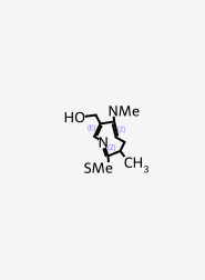 CNC1=C\CC(C)/C(SC)=N/C=C\1CO